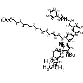 CCCCCCCCCCCCCCCCCCCCCCC=CCCc1ccccc1C1=CC(CCCC)=C(c2cccc(C[Si](C)(C)C)c2)[N+]1=[N-].c1ccc(C[CH2][Pd][CH2]Cc2ccccc2)cc1